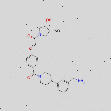 NCc1cccc(C2CCN(C(=O)c3ccc(OCC(=O)N4C[C@H](O)[C@H](N=O)C4)cc3)CC2)c1